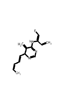 C=C/C(=C/F)NC1=NC=NC(/C=C/C=C\C)C1=C